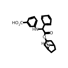 CN1C2CCC1CC(OC(=O)C(Nc1cccc(C(=O)O)c1)c1ccccc1)C2